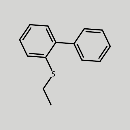 CCSc1ccccc1-c1ccccc1